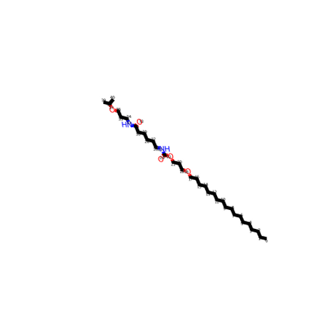 CCCCCCCCCCCCCCCCCCOCCCOC(=O)NCCCCCC(=O)NCCCOC(C)C